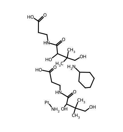 CC(C)(CO)C(O)C(=O)NCCC(=O)O.CC(C)(CO)C(O)C(=O)NCCC(=O)O.NC1CCCCC1.[NH2][Pt]